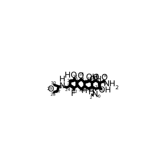 CN(C)[C@@H]1C(O)=C(C(N)=O)C(=O)[C@@]2(O)C(O)=C3C(=O)c4c(O)cc(CN[C@H]5CCOC5)c(F)c4C[C@H]3C[C@@H]12